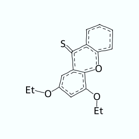 CCOc1cc(OCC)c2oc3ccccc3c(=S)c2c1